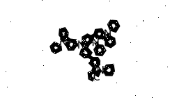 c1ccc(-n2c3ccccc3c3cc(-c4ccc5c(c4)c4c(ccc6c7ccc8c(c9ccccc9n8-c8ccccc8)c7n(-c7ccccc7)c64)n5-c4ccc5c(c4)c4ccccc4n5-c4ccccc4)ccc32)cc1